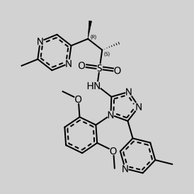 COc1cccc(OC)c1-n1c(NS(=O)(=O)[C@@H](C)[C@H](C)c2cnc(C)cn2)nnc1-c1cncc(C)c1